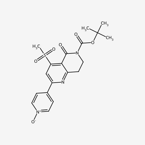 CC(C)(C)OC(=O)N1CCc2nc(-c3cc[n+]([O-])cc3)cc(S(C)(=O)=O)c2C1=O